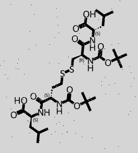 CC(C)C[C@H](NC(=O)[C@H](CCSSC[C@H](NC(=O)OC(C)(C)C)C(=O)N[C@@H](CC(C)C)C(=O)O)NC(=O)OC(C)(C)C)C(=O)O